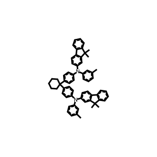 Cc1cccc(N(c2ccc(C3(c4ccc(N(c5cccc(C)c5)c5ccc6c(c5)C(C)(C)c5ccccc5-6)cc4)CCCCC3)cc2)c2ccc3c(c2)C(C)(C)c2ccccc2-3)c1